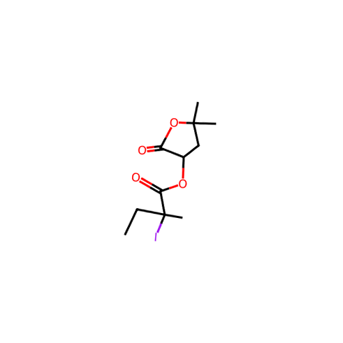 CCC(C)(I)C(=O)OC1CC(C)(C)OC1=O